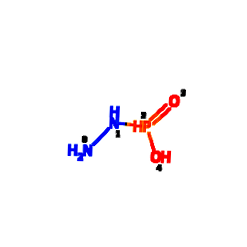 NN[PH](=O)O